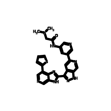 CN(C)CC(=O)Nc1cncc(-c2cc3c(-c4nc5c(-c6cccs6)cncc5[nH]4)n[nH]c3cn2)c1